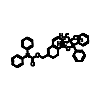 CC(C)(C)[Si](Oc1cccc2c1CCC(COC(=O)N(c1ccccc1)c1ccccc1)=C2)(c1ccccc1)c1ccccc1